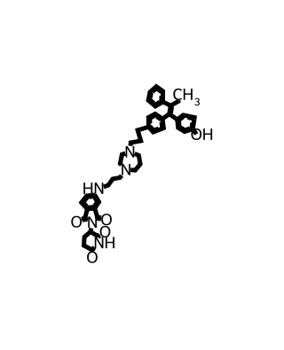 CCC(=C(c1ccc(O)cc1)c1ccc(CCCN2CCCN(CCCNc3ccc4c(c3)C(=O)N(C3CCC(=O)NC3=O)C4=O)CC2)cc1)c1ccccc1